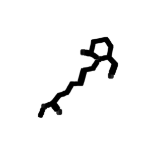 COC(=O)CCCC=CCN1C(=O)CCCC1C=O